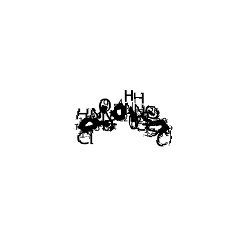 O=C(Nc1ccc(-n2c(=O)[nH]c3ccc(Cl)cc3c2=O)c(F)c1)NS(=O)(=O)c1ccc(Cl)s1